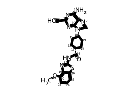 C#Cc1nc(N)c2ncn([C@H]3CC[C@@H](C(=O)Nc4nc5c(OC)cccc5s4)CC3)c2n1